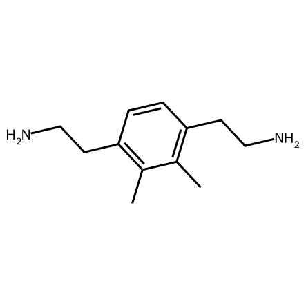 Cc1c(CCN)ccc(CCN)c1C